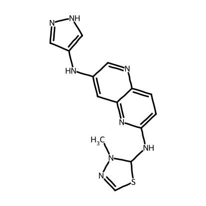 CN1N=CSC1Nc1ccc2ncc(Nc3cn[nH]c3)cc2n1